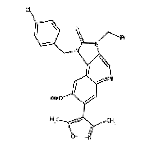 COc1cc2c(cc1-c1c(C)noc1C)ncc1c2n(Cc2ccc(Cl)cc2)c(=O)n1CC(C)C